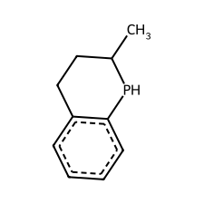 CC1CCc2ccccc2P1